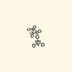 c1ccc(-c2nc(-c3ccccc3)nc(-c3ccc(-n4c5ccccc5c5c6c7ccccc7n(-c7ccccc7)c6c6oc7ccccc7c6c54)cc3)n2)cc1